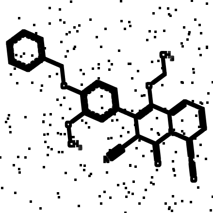 CCOC1=C(c2ccc(OCc3ccccc3)c(OC)c2)C(C#N)C(=O)N2C(=C=O)C=CC=C12